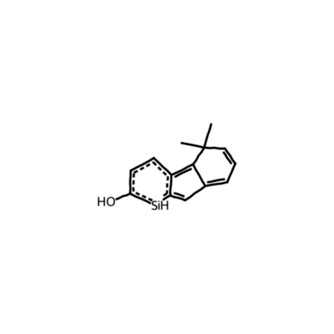 CC1(C)C=CC=C2C=c3[siH]c(O)ccc3=C21